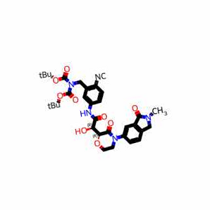 [C-]#[N+]c1ccc(NC(=O)[C@H](O)[C@H]2OCCN(c3ccc4c(c3)C(=O)N(C)C4)C2=O)cc1CN(C(=O)OC(C)(C)C)C(=O)OC(C)(C)C